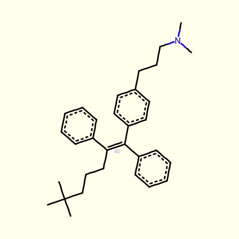 CN(C)CCCc1ccc(/C(=C(/CCCC(C)(C)C)c2ccccc2)c2ccccc2)cc1